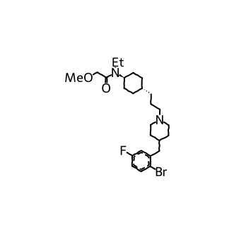 CCN(C(=O)COC)[C@H]1CC[C@H](CCCN2CCC(Cc3cc(F)ccc3Br)CC2)CC1